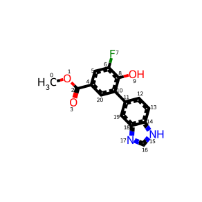 COC(=O)c1cc(F)c(O)c(-c2ccc3[nH]cnc3c2)c1